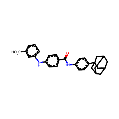 O=C(O)c1cccc(Nc2ccc(C(=O)Nc3ccc(C45CC6CC(CC(C6)C4)C5)cc3)cc2)c1